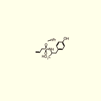 C=CCS(=O)(=O)NC(Cc1ccc(O)cc1)C(=O)O.CCCC